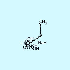 CCCCCCCC/C=C\CCCCCCC(C(=O)O)C1=C(O)C(=O)OC1[C@@H](O)CO.[NaH]